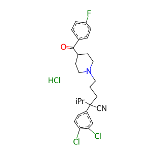 CC(C)C(C#N)(CCCN1CCC(C(=O)c2ccc(F)cc2)CC1)c1ccc(Cl)c(Cl)c1.Cl